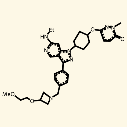 CCNc1cc2c(cn1)c(-c1ccc(CN3CC(OCCOC)C3)cc1)nn2C1CCC(Oc2ccc(=O)n(C)n2)CC1